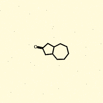 O=C1CC2CCCCCC2C1